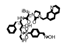 CC[C@H](C)[C@@H](C(=O)N[C@@H](Cc1ccccc1)[C@H](O)CN(CC(C)C)S(=O)(=O)c1ccc(C=NO)cc1)N1CCN(Cc2ccc3cccnc3c2)C1=O